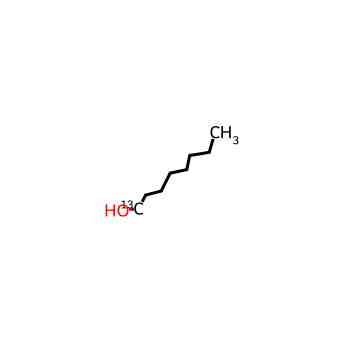 CCCCCCC[13CH2]O